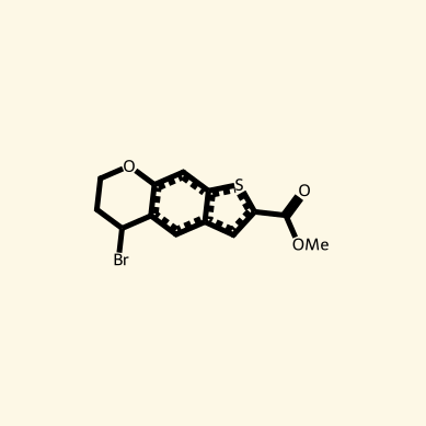 COC(=O)c1cc2cc3c(cc2s1)OCCC3Br